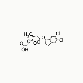 C=C(CC(=O)OC1CCc2cc(Cl)c(Cl)cc21)C(=O)OCC(=O)O